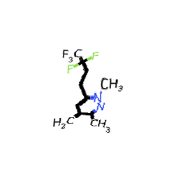 C=C1C=C(CCC(F)(F)C(F)(F)F)N(C)N=C1C